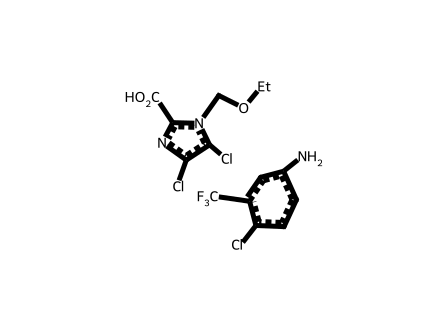 CCOCn1c(C(=O)O)nc(Cl)c1Cl.Nc1ccc(Cl)c(C(F)(F)F)c1